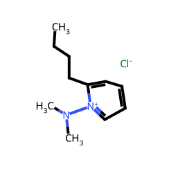 CCCCc1cccc[n+]1N(C)C.[Cl-]